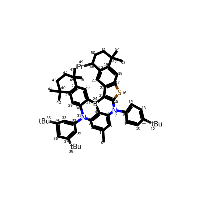 Cc1cc2c3c(c1)N(c1ccc(C(C)(C)C)cc1)c1sc4cc5c(cc4c1B3c1cc3c(cc1N2c1cc(C(C)(C)C)cc(C(C)(C)C)c1)C(C)(C)CCC3(C)C)C(C(C)C)CCC5(C)C